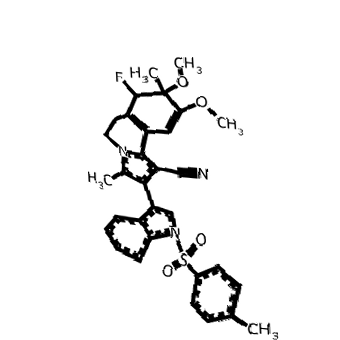 COC1=CC2=C(CCn3c(C)c(-c4cn(S(=O)(=O)c5ccc(C)cc5)c5ccccc45)c(C#N)c32)C(F)C1(C)OC